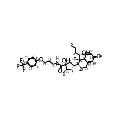 CCC[C@H](O)[C@@]1(F)[C@H]([C@@H]2C[C@@H](C)[C@](O)(C(=O)NCCCOc3ccc(C(F)(F)F)cc3)C2)CCC2=CC(=O)C=C[C@@]21C